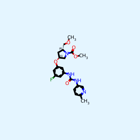 COC[C@H]1C[C@H](Oc2cc(F)cc(NC(=O)Nc3ccc(C)nc3)c2)CN1C(=O)OC